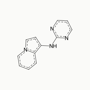 c1cnc(Nc2ccn3ccccc23)nc1